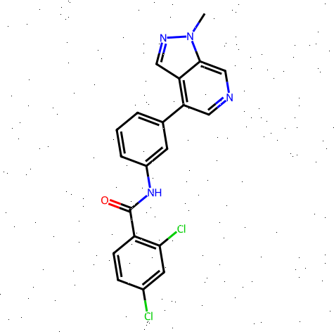 Cn1ncc2c(-c3cccc(NC(=O)c4ccc(Cl)cc4Cl)c3)cncc21